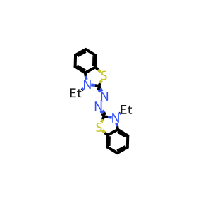 CCn1/c(=N\N=c2\sc3ccccc3n2CC)sc2ccccc21